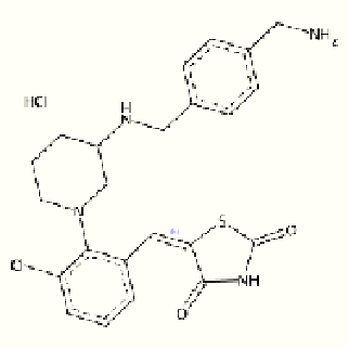 Cl.NCc1ccc(CNC2CCCN(c3c(Cl)cccc3/C=C3/SC(=O)NC3=O)C2)cc1